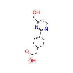 O=C(O)CC1CC=C(c2nccc(CO)n2)CC1